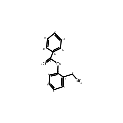 O=C(Oc1ccccc1CBr)c1ccccc1